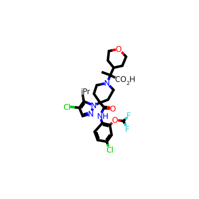 CC(C)c1c(Cl)cnn1C1(C(=O)Nc2ccc(Cl)cc2OC(F)F)CCN(C(C)(C(=O)O)C2CCOCC2)CC1